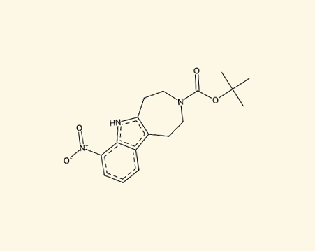 CC(C)(C)OC(=O)N1CCc2[nH]c3c([N+](=O)[O-])cccc3c2CC1